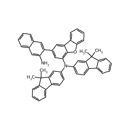 CC1(C)c2ccccc2-c2ccc(N(c3ccc4c(c3)C(C)(C)c3ccccc3-4)c3cc(-c4cc5ccccc5cc4N)cc4c3oc3ccccc34)cc21